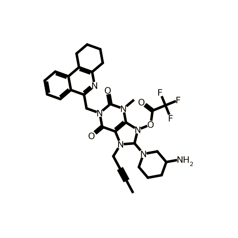 CC#CCN1c2c(n(C)c(=O)n(Cc3nc4c(c5ccccc35)CCCC4)c2=O)N(OC(=O)C(F)(F)F)C1N1CCCC(N)C1